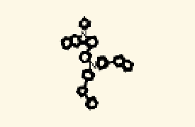 C1=CC(c2cccc3c2c2cc4ccccc4cc2n3-c2ccccc2)=CC(N(c2ccc(-c3cccc(-c4ccccc4)c3)cc2)c2ccc(-c3ccc4ccccc4c3)cc2)C1